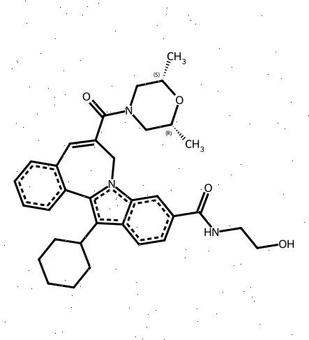 C[C@@H]1CN(C(=O)C2=Cc3ccccc3-c3c(C4CCCCC4)c4ccc(C(=O)NCCO)cc4n3C2)C[C@H](C)O1